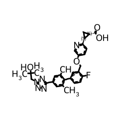 Cc1cc(-c2nnn(CC(C)(C)O)n2)cc(C)c1-c1ccc(F)c(COc2ccc([C@H]3C[C@@H]3C(=O)O)nc2)c1